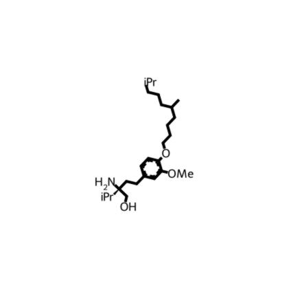 COc1cc(CC[C@@](N)(CO)C(C)C)ccc1OCCCCC(C)CCCC(C)C